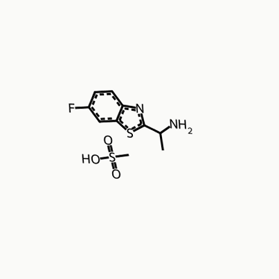 CC(N)c1nc2ccc(F)cc2s1.CS(=O)(=O)O